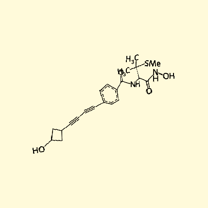 CSC(C)(C)C(NC(=O)c1ccc(C#CC#CC2CC(O)C2)cc1)C(=O)NO